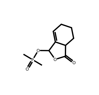 CP(C)(=O)OC1OC(=O)C2CCCC=C12